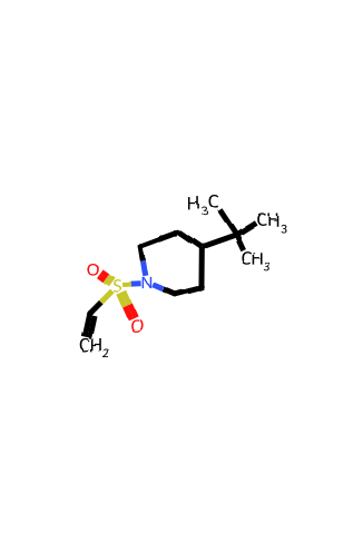 C=CS(=O)(=O)N1CCC(C(C)(C)C)CC1